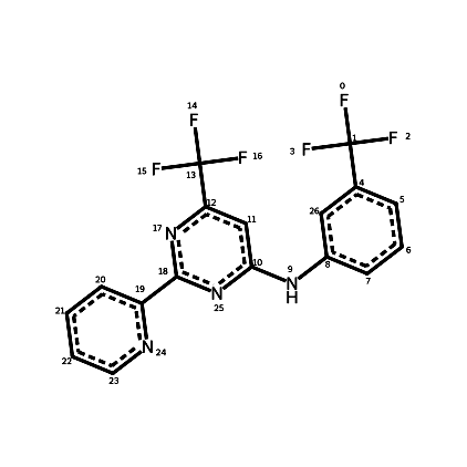 FC(F)(F)c1cccc(Nc2cc(C(F)(F)F)nc(-c3ccccn3)n2)c1